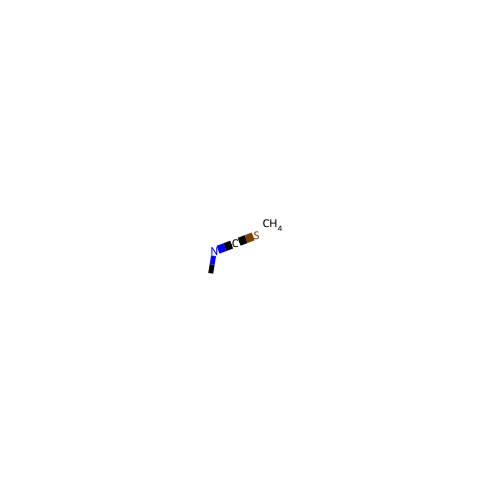 C.CN=C=S